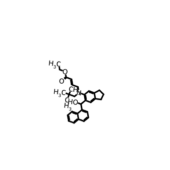 CCOC(=O)/C=C/CN(CC(C)(C)C)c1cc2c(cc1C(O)c1cccc3ccccc13)CCC2